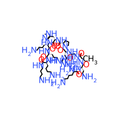 C[C@H](NC(=O)[C@H](CCN)NC(=O)[C@@H](N)CCCCN)C(=O)NCC(=O)N[C@H](CCCN)C(=O)N1CCC[C@H]1C(=O)N[C@@H](Cc1cnc[nH]1)C(=O)N[C@@H](CCCCN)C(=O)N[C@H](CCCNC(=N)N)C(=O)N[C@@H](CCCCN)C(=O)NCCCCN